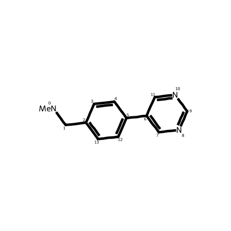 CNCc1ccc(-c2cncnc2)cc1